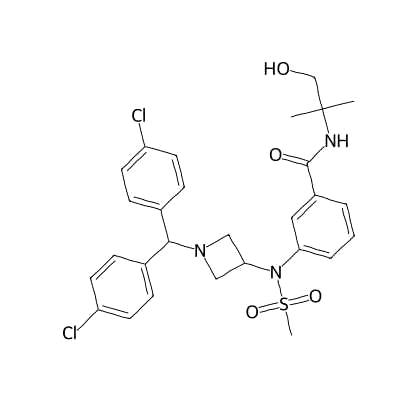 CC(C)(CO)NC(=O)c1cccc(N(C2CN(C(c3ccc(Cl)cc3)c3ccc(Cl)cc3)C2)S(C)(=O)=O)c1